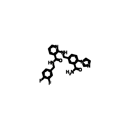 NC(=O)c1cc(CNc2ncccc2C(=O)NCc2ccc(F)c(F)c2)ccc1-n1ccnc1